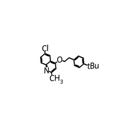 Cc1cc(OCCc2ccc(C(C)(C)C)cc2)c2cc(Cl)ccc2n1